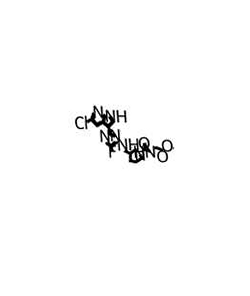 COC(=O)CNC(=O)N1CCCC(CNc2nc(-c3c[nH]c4ncc(Cl)cc34)ncc2F)C1